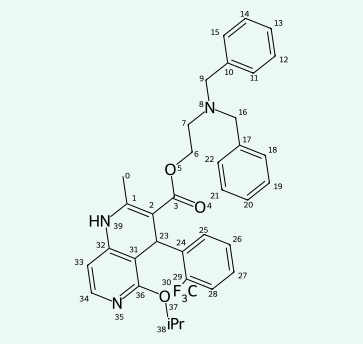 CC1=C(C(=O)OCCN(Cc2ccccc2)Cc2ccccc2)C(c2ccccc2C(F)(F)F)c2c(ccnc2OC(C)C)N1